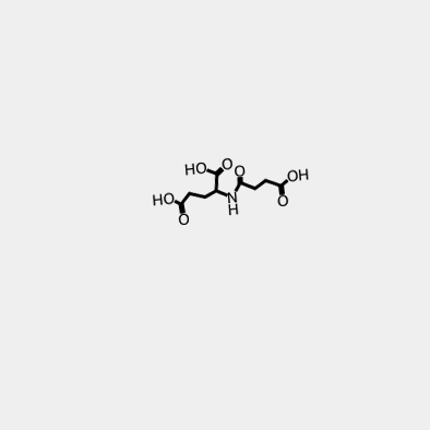 O=C(O)CCC(=O)NC(CCC(=O)O)C(=O)O